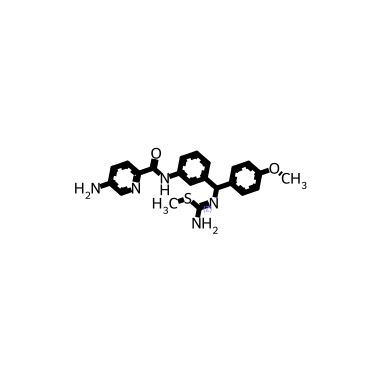 COc1ccc(C(/N=C(/N)SC)c2cccc(NC(=O)c3ccc(N)cn3)c2)cc1